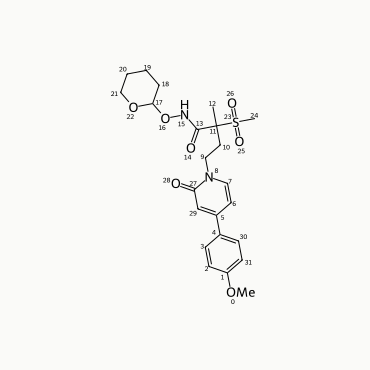 COc1ccc(-c2ccn(CCC(C)(C(=O)NOC3CCCCO3)S(C)(=O)=O)c(=O)c2)cc1